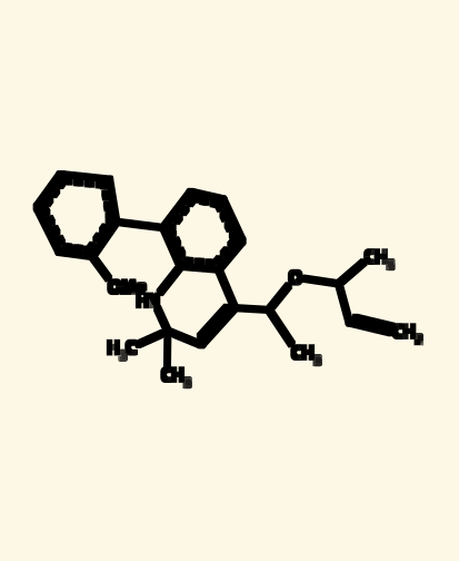 C=CC(C)OC(C)C1=CC(C)(C)Nc2c1cccc2-c1ccccc1OC